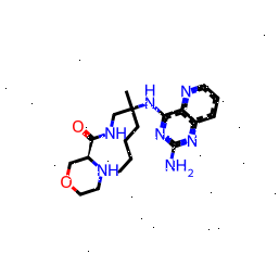 CCCCC(C)(CNC(=O)[C@@H]1COCCN1)Nc1nc(N)nc2cccnc12